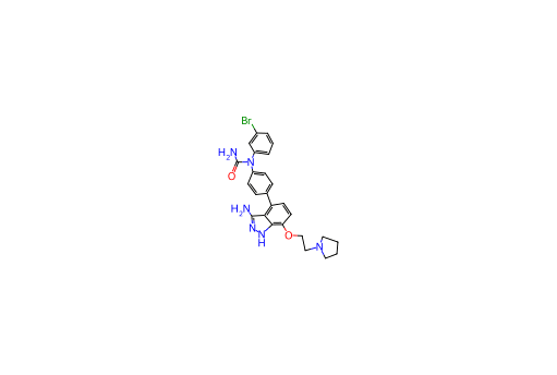 NC(=O)N(c1ccc(-c2ccc(OCCN3CCCC3)c3[nH]nc(N)c23)cc1)c1cccc(Br)c1